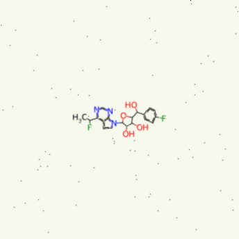 CC(F)c1ncnc2c1ccn2C1OC(C(O)c2ccc(F)cc2)C(O)C1O